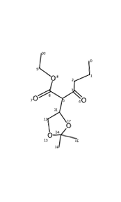 CCCC(=O)C(C(=O)OCC)C1COC(C)(C)O1